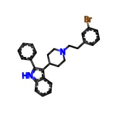 Brc1cccc(CCN2CCC(c3c(-c4ccccc4)[nH]c4ccccc34)CC2)c1